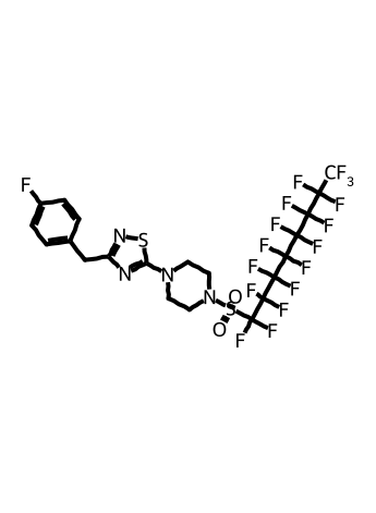 O=S(=O)(N1CCN(c2nc(Cc3ccc(F)cc3)ns2)CC1)C(F)(F)C(F)(F)C(F)(F)C(F)(F)C(F)(F)C(F)(F)C(F)(F)C(F)(F)F